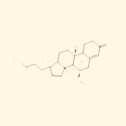 CC[C@]12CC[C@H]3[C@@H]([C@H](SC(C)=O)CC4=CC(=O)CC[C@@H]43)[C@@H]1CC[C@@]2(O)CCCOC(C)=O